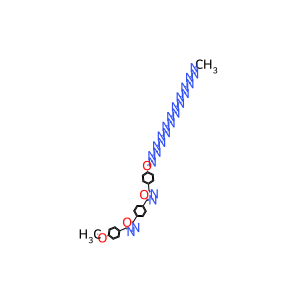 CN=NN=NN=NN=NN=NN=NN=NN=NN=NN=NOc1ccc(-c2nnc(-c3ccc(-c4nnc(-c5ccc(OC)cc5)o4)cc3)o2)cc1